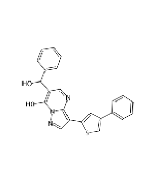 Oc1c(C(O)c2ccccc2)cnc2c(-c3cc(-c4ccccc4)cs3)cnn12